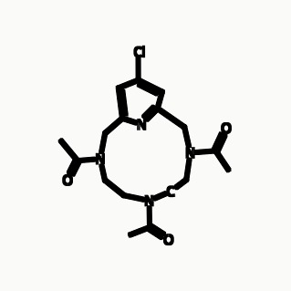 CC(=O)N1CCN(C(C)=O)Cc2cc(Cl)cc(n2)CN(C(C)=O)CC1